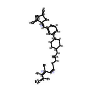 C=C(F)/C(F)=C(F)\C=C/CCNCC1CCN(c2nccc(/C=C3\SC(=O)NC3=O)n2)CC1